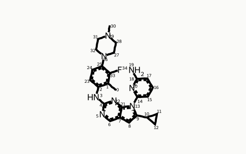 Cc1c(Nc2ncc3cc(C4CC4)n(-c4cccc(N)n4)c3n2)ccc(N2CCN(C)CC2)c1F